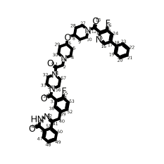 O=C(CN1CCC(OC2CCN(C(=O)c3ncc(-c4ccccc4)cc3F)CC2)CC1)N1CCN(C(=O)c2cc(Cc3n[nH]c(=O)c4ccccc34)ccc2F)CC1